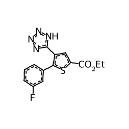 CCOC(=O)c1cc(-c2nnn[nH]2)c(-c2cccc(F)c2)s1